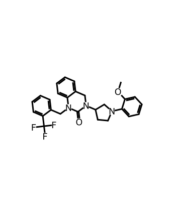 COc1ccccc1N1CCC(N2Cc3ccccc3N(Cc3ccccc3C(F)(F)F)C2=O)C1